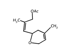 CC(=O)OCC(C)=CC1CC(C)=CCO1